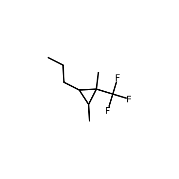 CCCC1C(C)C1(C)C(F)(F)F